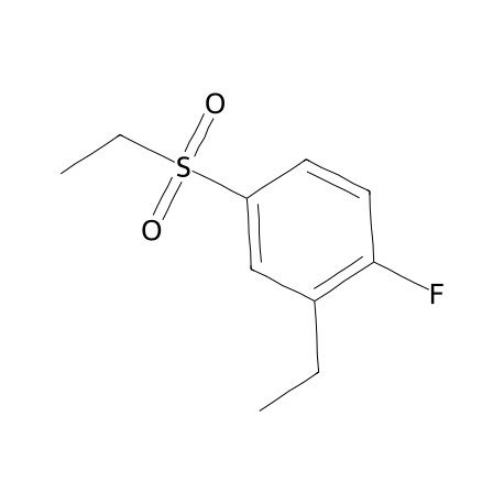 CCc1cc(S(=O)(=O)CC)ccc1F